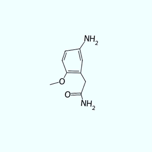 COc1ccc(N)cc1CC(N)=O